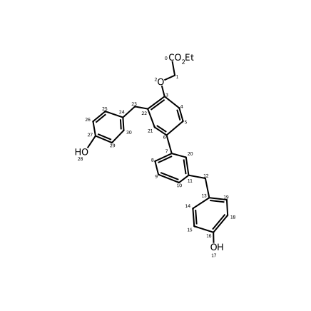 CCOC(=O)COc1ccc(-c2cccc(Cc3ccc(O)cc3)c2)cc1Cc1ccc(O)cc1